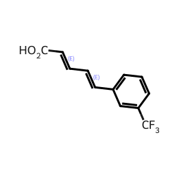 O=C(O)/C=C/C=C/c1cccc(C(F)(F)F)c1